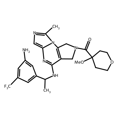 COC1(C(=O)N2Cc3c(NC(C)c4cc(N)cc(C(F)(F)F)c4)nc4cnc(C)n4c3C2)CCOCC1